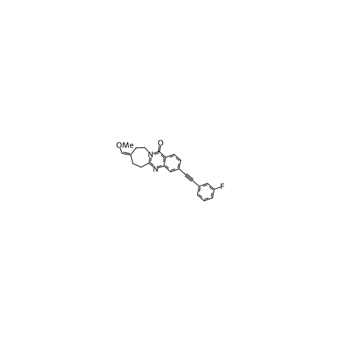 CO/C=C1/CCc2nc3cc(C#Cc4cccc(F)c4)ccc3c(=O)n2CC1